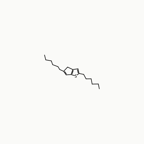 CCCCCCC1=Cc2sc(CCCCCC)cc2C1